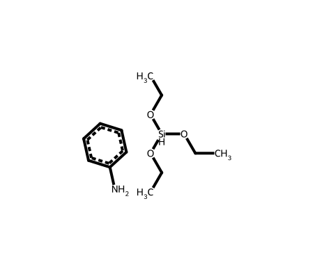 CCO[SiH](OCC)OCC.Nc1ccccc1